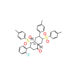 Cc1ccc(C2C[C@@H]3C(S(=O)(=O)c4ccc(C)cc4)C(c4ccccc4F)CC(=O)[C@@H]3CC2S(=O)(=O)c2ccc(C)cc2)cc1